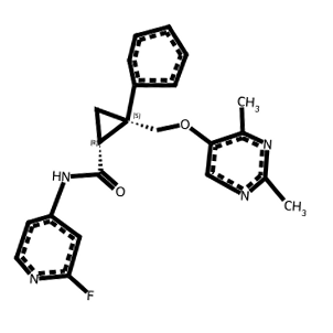 Cc1ncc(OC[C@@]2(c3ccccc3)C[C@H]2C(=O)Nc2ccnc(F)c2)c(C)n1